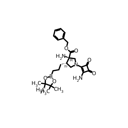 CC1(C)OB(CCC[C@H]2CN(c3c(N)c(=O)c3=O)C[C@@]2(N)C(=O)OCc2ccccc2)OC1(C)C